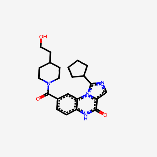 O=C(c1ccc2[nH]c(=O)c3cnc(C4CCCC4)n3c2c1)N1CCC(CCO)CC1